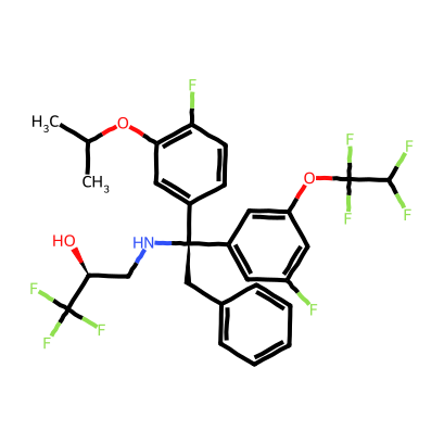 CC(C)Oc1cc([C@@](Cc2ccccc2)(NC[C@H](O)C(F)(F)F)c2cc(F)cc(OC(F)(F)C(F)F)c2)ccc1F